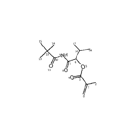 C=C(C)C(=O)OC(C(=O)NC(=O)C(C)(C)C)C(C)C